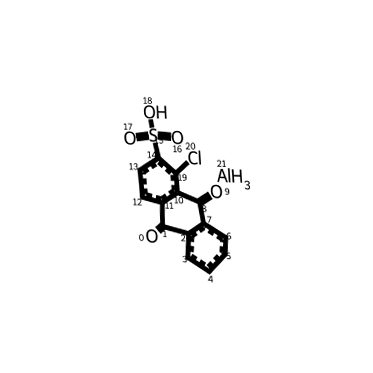 O=C1c2ccccc2C(=O)c2c1ccc(S(=O)(=O)O)c2Cl.[AlH3]